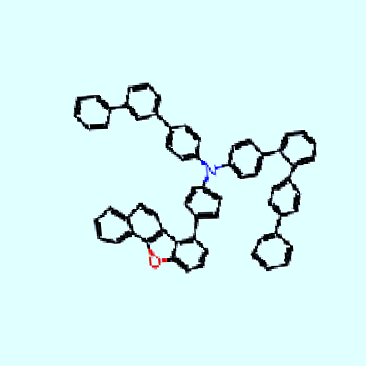 c1ccc(-c2ccc(-c3ccccc3-c3ccc(N(c4ccc(-c5cccc(-c6ccccc6)c5)cc4)c4ccc(-c5cccc6oc7c8ccccc8ccc7c56)cc4)cc3)cc2)cc1